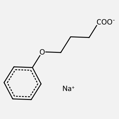 O=C([O-])CCCOc1ccccc1.[Na+]